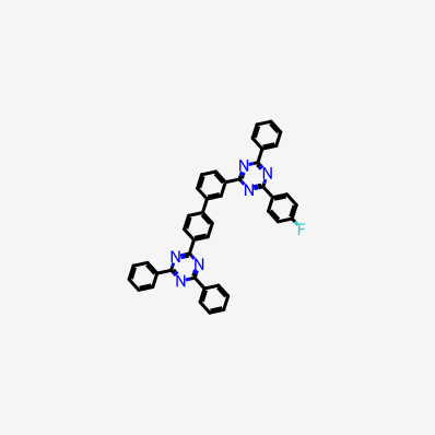 Fc1ccc(-c2nc(-c3ccccc3)nc(-c3cccc(-c4ccc(-c5nc(-c6ccccc6)nc(-c6ccccc6)n5)cc4)c3)n2)cc1